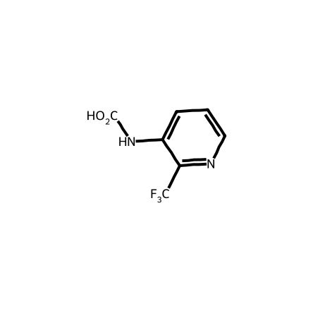 O=C(O)Nc1cccnc1C(F)(F)F